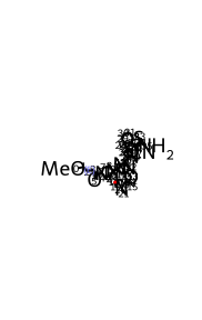 COC/C=C/C(=O)N1CCN(c2cc(O[C@@H](C)[C@@H]3CCCN3C)nc(-c3cc([C@@]4(C)CCCc5sc(N)c(C#N)c54)on3)n2)[C@H](C)C1